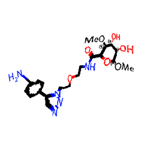 CO[C@@H]1OC(C(=O)NCCOCCn2nncc2-c2ccc(N)cc2)[C@@H](OC)[C@H](O)[C@@H]1O